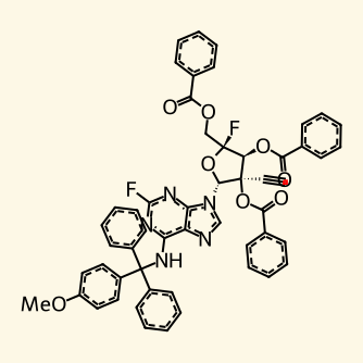 C#C[C@]1(OC(=O)c2ccccc2)[C@H](n2cnc3c(NC(c4ccccc4)(c4ccccc4)c4ccc(OC)cc4)nc(F)nc32)O[C@](F)(COC(=O)c2ccccc2)[C@H]1OC(=O)c1ccccc1